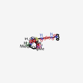 COc1cc2cc(c1Cl)N(C)C(=O)C[C@H](OC(=O)[C@@H](C)N(C)C(=O)CCSSCCCC(=O)NCCOCCOCCOCCNC(=O)CCC(=O)N1Cc3ccccc3/C=C\c3ccccc31)[C@@]1(C)O[C@H]1[C@H](C)[C@@H]1C[C@@](O)(NC(=O)O1)[C@H](OC)/C=C/C=C(\C)C2